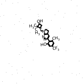 Cc1cc(C(F)(F)F)cc(O)c1-c1cc2c(nn1)N(C[C@@H]1C[C@H](O)C1(C)C)CC2